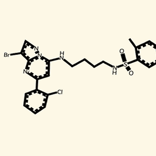 Cc1ccccc1S(=O)(=O)NCCCCNc1cc(-c2ccccc2Cl)nc2c(Br)cnn12